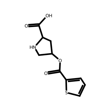 O=C(OC1CNC(C(=O)O)C1)c1cccs1